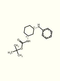 CC(C)(C)OC(=O)N[C@@H]1CCC[C@H](Nc2ccccc2)C1